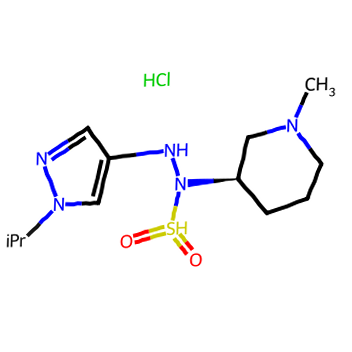 CC(C)n1cc(NN([C@@H]2CCCN(C)C2)[SH](=O)=O)cn1.Cl